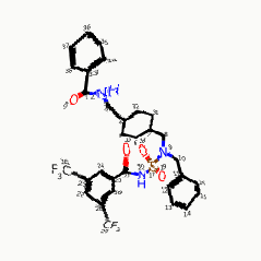 O=C(NCC1CCC(CN(Cc2ccccc2)S(=O)(=O)NC(=O)c2cc(C(F)(F)F)cc(C(F)(F)F)c2)CC1)c1ccccc1